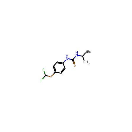 CC(NC(=S)Nc1ccc(SC(F)F)cc1)C(C)(C)C